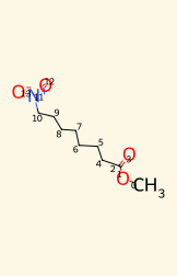 COC(=O)CCCCCCC[N+](=O)[O-]